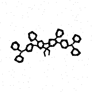 CCC1(CC)c2cc(-c3ccc(N(c4ccccc4)c4ccccc4)cc3)c(-c3ccccc3)cc2-c2cc(-c3ccccc3)c(-c3ccc(N(c4ccccc4)c4ccccc4)cc3)cc21